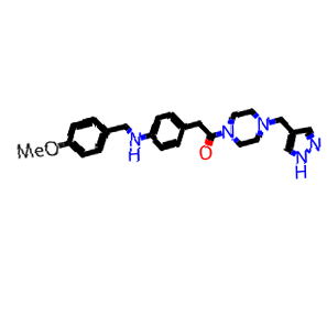 COc1ccc(CNc2ccc(CC(=O)N3CCN(Cc4cn[nH]c4)CC3)cc2)cc1